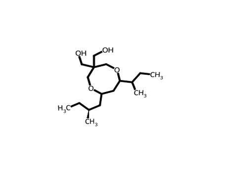 CCC(C)C1CC(C[C@@H](C)CC)OCC(CO)(CO)CO1